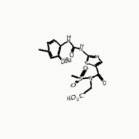 Cc1ccc(NC(=O)Nc2ncc(C(=O)N(CC(=O)O)S(C)(=O)=O)s2)c(OCC(C)C)c1